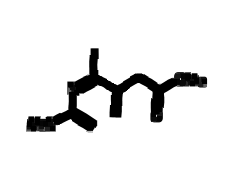 C=C(/N=C(/C)C(=C)CC(=O)OC)NC